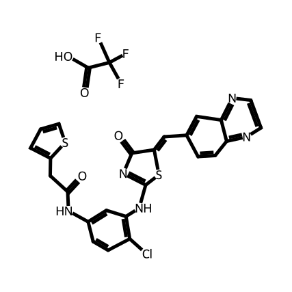 O=C(Cc1cccs1)Nc1ccc(Cl)c(NC2=NC(=O)/C(=C/c3ccc4nccnc4c3)S2)c1.O=C(O)C(F)(F)F